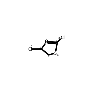 ClC1=NC(Cl)CS1